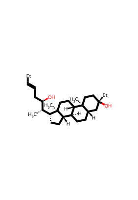 CC/C=C/C[C@@H](O)[C@@H](C)[C@H]1CC[C@H]2[C@@H]3CC[C@H]4C[C@](O)(CC)CC[C@]4(C)[C@H]3CC[C@]12C